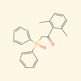 Cc1cccc(C)c1C(=O)CP(=O)(c1ccccc1)c1ccccc1